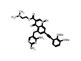 CCn1cc(C(=O)OCCN(C)C)c(=O)c2c(Cc3cnc(N)nc3N)cc(C#Cc3cccc(OC)c3OC)cc21